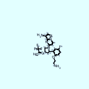 NCCOc1ccc(F)cc1C1CCCN1c1ccn2ncc(N)c2n1.O=C(O)C(F)(F)F